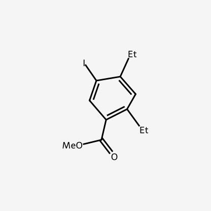 CCc1cc(CC)c(C(=O)OC)cc1I